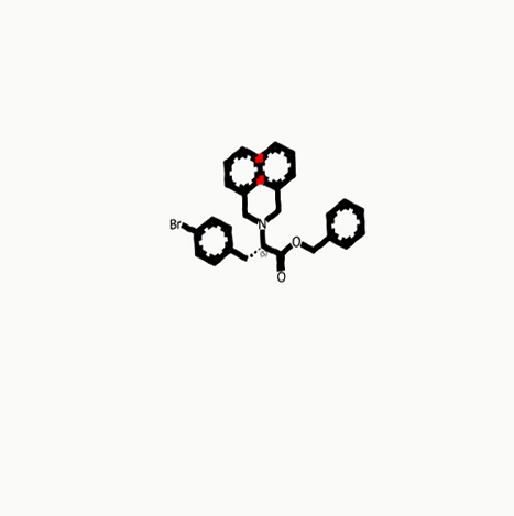 O=C(OCc1ccccc1)[C@H](Cc1ccc(Br)cc1)N(Cc1ccccc1)Cc1ccccc1